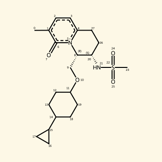 Cc1ccc2n(c1=O)[C@@H](COC1CCC(C3CC3)CC1)[C@@H](NS(C)(=O)=O)CC2